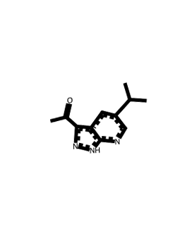 CC(=O)c1n[nH]c2ncc(C(C)C)cc12